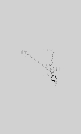 CCCCCCCCCCCCCCCC(=O)OC(CCCCCCCCCCCC(C)C)[C@](CC=O)(C(=O)O)c1ccc(Br)cc1